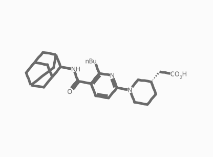 CCCCc1nc(N2CCC[C@@H](CC(=O)O)C2)ccc1C(=O)NC1C2CC3CC(C2)CC1C3